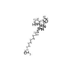 CCCCCCCCCCCCSSc1nnc(-c2ccco2)n1C1CCCCN1